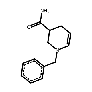 NC(=O)C1CC=CN(Cc2ccccc2)C1